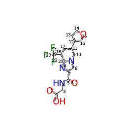 O=C(O)CNC(=O)c1cn2cc(-c3ccoc3)cc(C(F)(F)F)c2n1